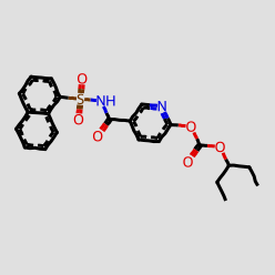 CCC(CC)OC(=O)Oc1ccc(C(=O)NS(=O)(=O)c2cccc3ccccc23)cn1